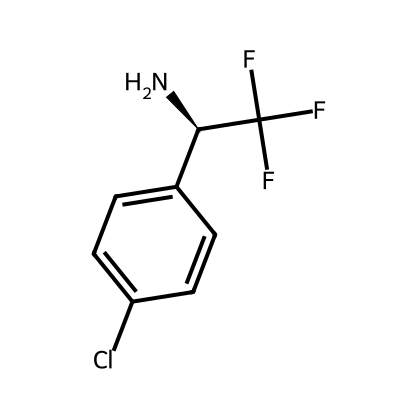 N[C@H](c1ccc(Cl)cc1)C(F)(F)F